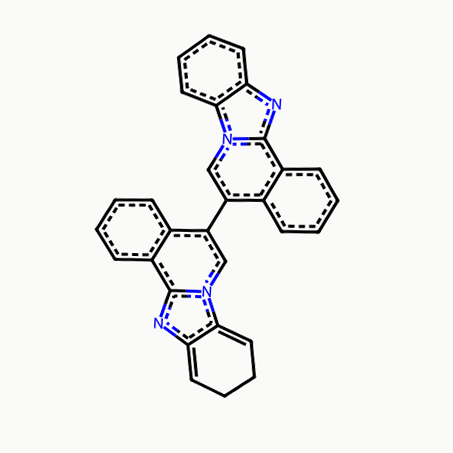 C1=c2nc3c4ccccc4c(-c4cn5c6ccccc6nc5c5ccccc45)cn3c2=CCC1